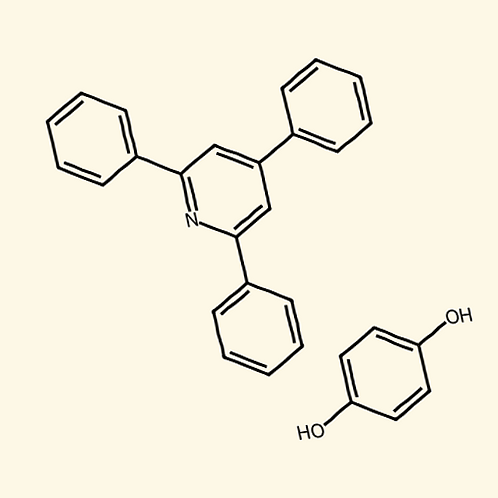 Oc1ccc(O)cc1.c1ccc(-c2cc(-c3ccccc3)nc(-c3ccccc3)c2)cc1